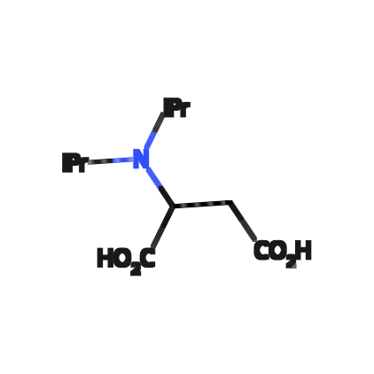 CC(C)N(C(C)C)C(CC(=O)O)C(=O)O